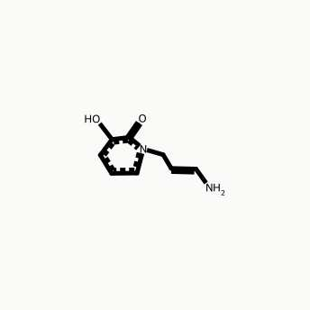 NC=CCn1cccc(O)c1=O